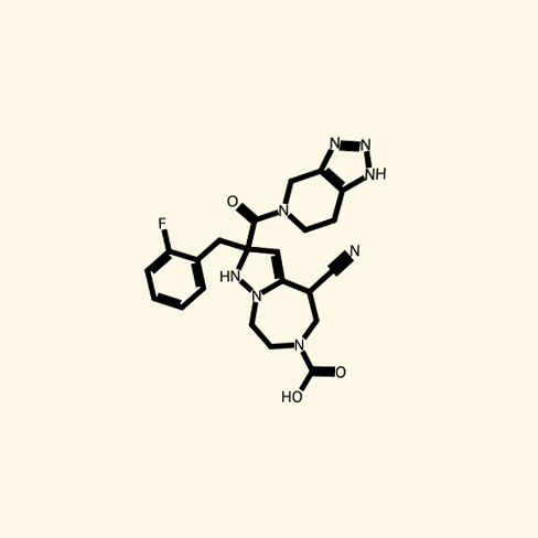 N#CC1CN(C(=O)O)CCN2NC(Cc3ccccc3F)(C(=O)N3CCc4[nH]nnc4C3)C=C12